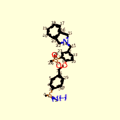 CS(=N)c1ccc(COc2ccc(CN3Cc4ccccc4C3)cc2S(C)(=O)=O)cc1